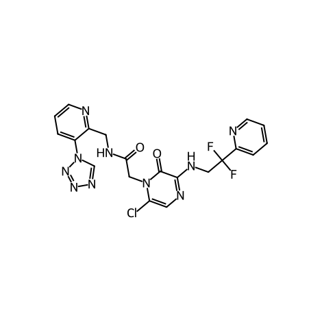 O=C(Cn1c(Cl)cnc(NCC(F)(F)c2ccccn2)c1=O)NCc1ncccc1-n1cnnn1